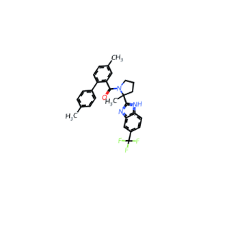 Cc1ccc(-c2ccc(C)cc2C(=O)N2CCCC2(C)c2nc3cc(C(F)(F)F)ccc3[nH]2)cc1